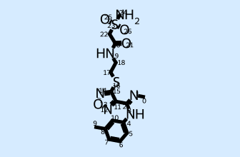 C/N=C(\Nc1cccc(C)c1)c1nonc1SCCNC(=O)CS(N)(=O)=O